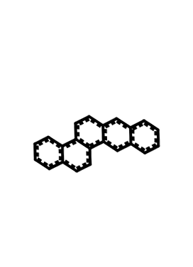 c1ccc2cc3c(ccc4c5ccccc5ccc34)cc2c1